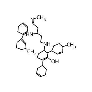 C/N=C\CC(CCNC1CCC(C2CC=CCC2)=C(O)C1C1C=CC(C)CC1)NC1=C(C2=C[C@H](C)CCC2)CCC=C1